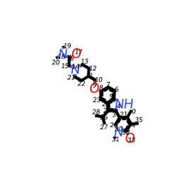 Cc1c(-c2[nH]c3ccc(OCC4CCN(CC(=O)N(C)C)CC4)cc3c2C(C)C)cn(C)c(=O)c1C